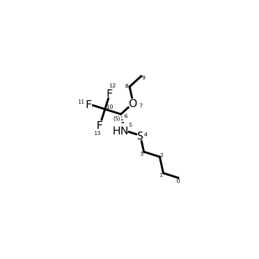 CCCCSN[C@@H](OCC)C(F)(F)F